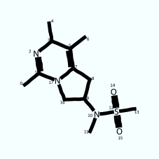 CC1=NC(C)C(C)=C2CC(N(C)S(C)(=O)=O)CN12